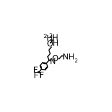 [2H]C([2H])([2H])OCCCC/C(=N\OCCN)c1ccc(C(F)(F)F)cc1